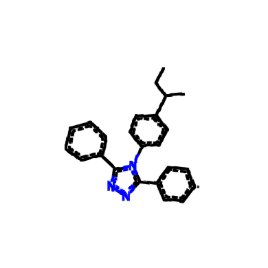 CCC(C)c1ccc(-n2c(-c3cc[c]cc3)nnc2-c2ccccc2)cc1